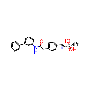 CC(C)[Si](O)(O)/C=C/c1ccc(CC(=O)Nc2cccc(-c3ccccc3)c2)cc1